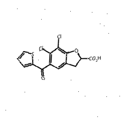 O=C(c1cccs1)c1cc2c(c(Cl)c1Cl)OC(C(=O)O)C2